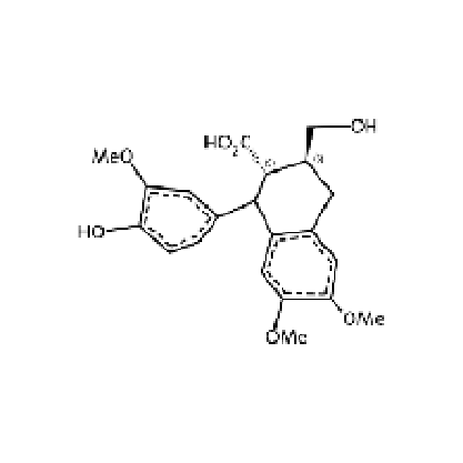 COc1cc(C2c3cc(OC)c(OC)cc3C[C@H](CO)[C@H]2C(=O)O)ccc1O